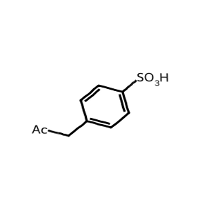 CC(=O)Cc1ccc(S(=O)(=O)O)cc1